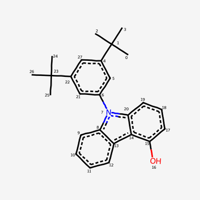 CC(C)(C)c1cc(-n2c3ccccc3c3c(O)cccc32)cc(C(C)(C)C)c1